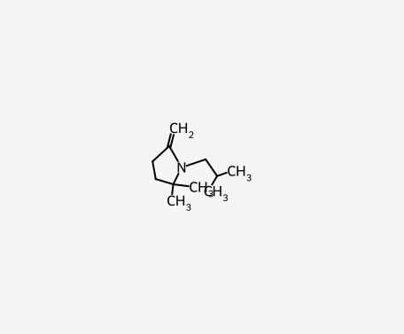 C=C1CCC(C)(C)N1CC(C)C